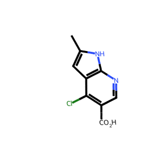 Cc1cc2c(Cl)c(C(=O)O)cnc2[nH]1